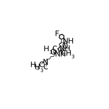 CCN(CC)CCCCC(=O)Nc1c(C)[nH]c(/C=C2\C(=O)Nc3ccc(F)cc32)c1C